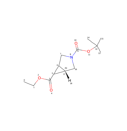 CCOC(=O)C1C2CN(C(=O)OC(C)(C)C)C[C@@H]21